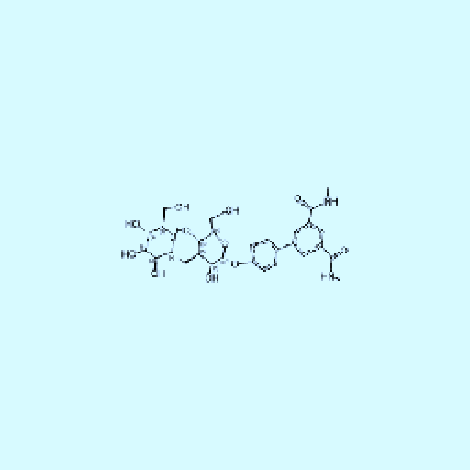 CNC(=O)c1cc(C(=O)NC)cc(-c2ccc(O[C@H]3O[C@H](CO)[C@@H](O)[C@H](C[C@H]4O[C@H](CO)[C@@H](O)[C@H](O)[C@@H]4O)[C@@H]3O)cc2)c1